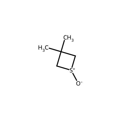 CC1(C)C[S+]([O-])C1